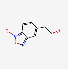 [O-][n+]1onc2cc(CCO)ccc21